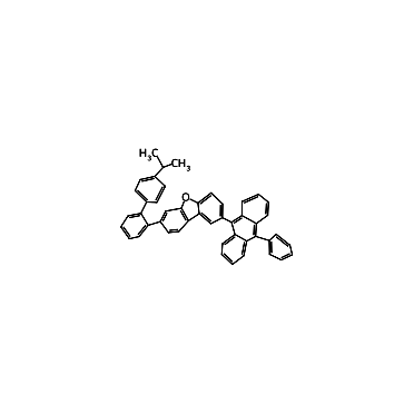 CC(C)c1ccc(-c2ccccc2-c2ccc3c(c2)oc2ccc(-c4c5ccccc5c(-c5ccccc5)c5ccccc45)cc23)cc1